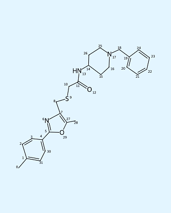 Cc1ccc(-c2nc(CSCC(=O)NC3CCN(Cc4ccccc4)CC3)c(C)o2)cc1